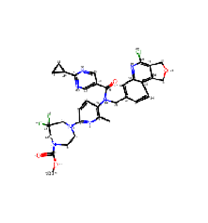 Cc1nc(N2CCN(C(=O)OC(C)(C)C)CC(F)(F)C2)ccc1N(Cc1ccc2c3c(c(Cl)nc2c1)COC3)C(=O)c1cnc(C2CC2)nc1